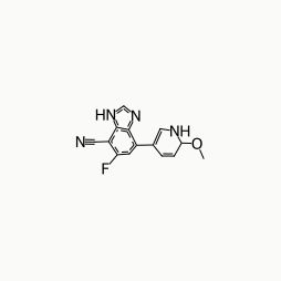 COC1C=CC(c2cc(F)c(C#N)c3[nH]cnc23)=CN1